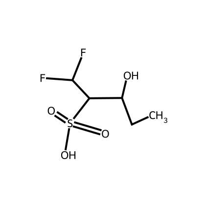 CCC(O)C(C(F)F)S(=O)(=O)O